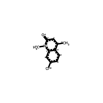 Cc1cc(=O)n(C)c2cc(Cl)ccc12